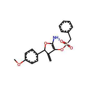 C=C1C(OS(=O)(=O)Cc2ccccc2)=C(N)OC1c1ccc(OC)cc1